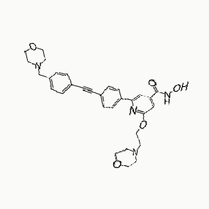 O=C(NO)c1cc(OCCN2CCOCC2)nc(-c2ccc(C#Cc3ccc(CN4CCOCC4)cc3)cc2)c1